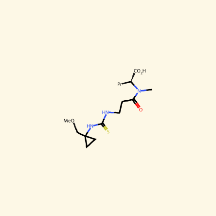 COCC1(NC(=S)NCCC(=O)N(C)[C@H](C(=O)O)C(C)C)CC1